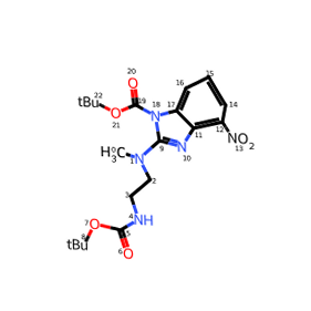 CN(CCNC(=O)OC(C)(C)C)c1nc2c([N+](=O)[O-])cccc2n1C(=O)OC(C)(C)C